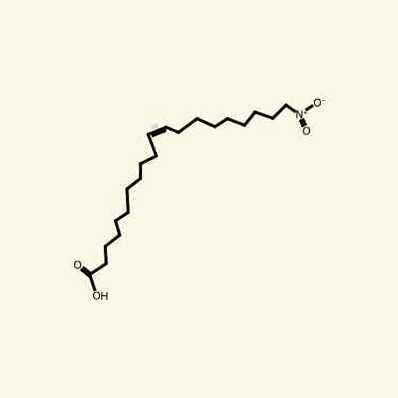 O=C(O)CCCCCCCCC/C=C\CCCCCCCC[N+](=O)[O-]